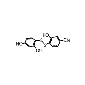 N#Cc1ccc(SSc2ccc(C#N)cc2O)c(O)c1